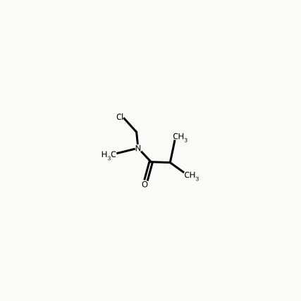 CC(C)C(=O)N(C)CCl